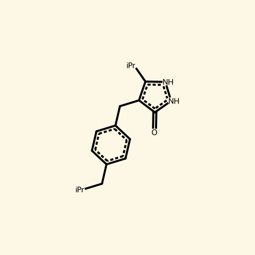 CC(C)Cc1ccc(Cc2c(C(C)C)[nH][nH]c2=O)cc1